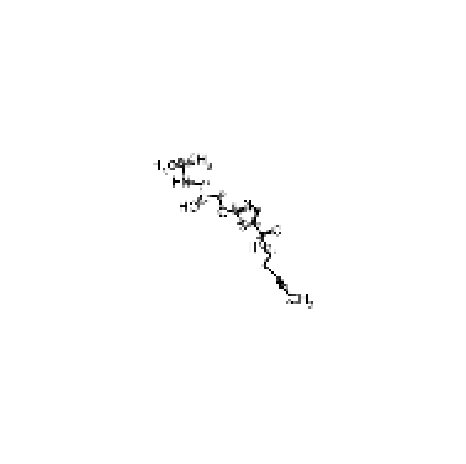 CC#CCCNC(=O)c1cnc(OCC(O)CNC(C)C)s1